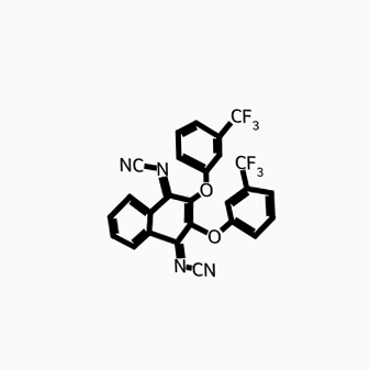 N#C/N=C1C(Oc2cccc(C(F)(F)F)c2)=C(Oc2cccc(C(F)(F)F)c2)/C(=N/C#N)c2ccccc2\1